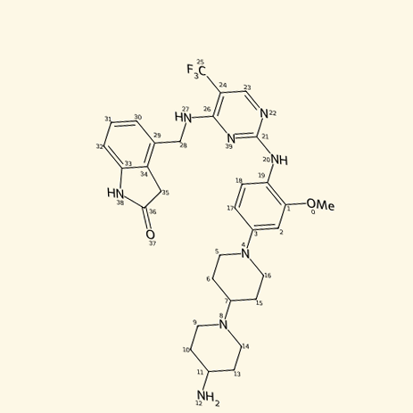 COc1cc(N2CCC(N3CCC(N)CC3)CC2)ccc1Nc1ncc(C(F)(F)F)c(NCc2cccc3c2CC(=O)N3)n1